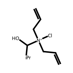 C=CC[N+](Cl)(CC=C)C(O)C(C)C